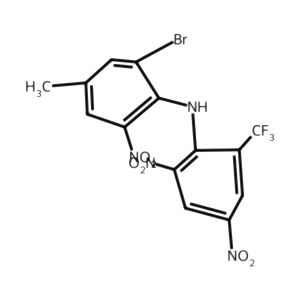 Cc1cc(Br)c(Nc2c([N+](=O)[O-])cc([N+](=O)[O-])cc2C(F)(F)F)c([N+](=O)[O-])c1